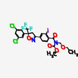 CCOCN(C(=O)OC)C(=O)c1ccc(C2=NOC(c3cc(Cl)cc(Cl)c3)(C(F)(F)F)C2)cc1I